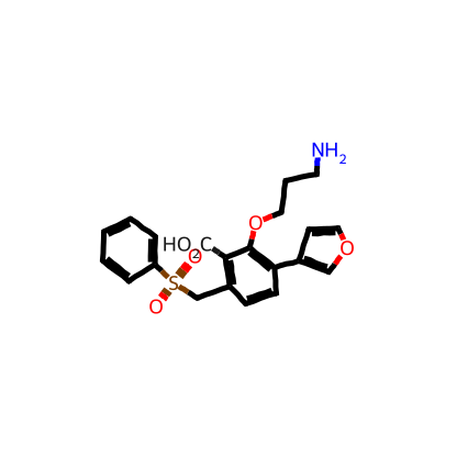 NCCCOc1c(-c2ccoc2)ccc(CS(=O)(=O)c2ccccc2)c1C(=O)O